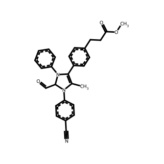 COC(=O)CCc1ccc(C2=C(C)N(c3ccc(C#N)cc3)C(C=O)N2c2ccccc2)cc1